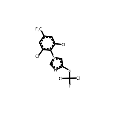 FC(Cl)(Cl)Sc1cn(-c2c(Cl)cc(C(F)(F)F)cc2Cl)cn1